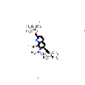 CN(C)c1c(C#C[Si](C)(C)C)cc2ccc(CO[Si](C)(C)C(C)(C)C)nc2c1C#N